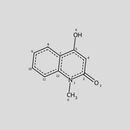 Cn1c(=O)cc(O)c2ccccc21